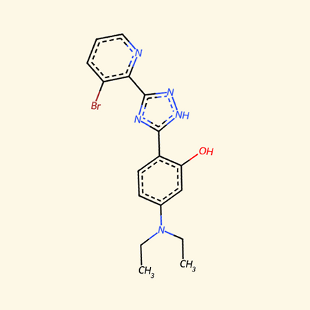 CCN(CC)c1ccc(-c2nc(-c3ncccc3Br)n[nH]2)c(O)c1